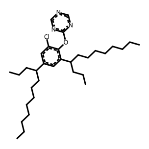 CCCCCCCCC(CCC)c1cc(Cl)c(Oc2ncncn2)c(C(CCC)CCCCCCCC)c1